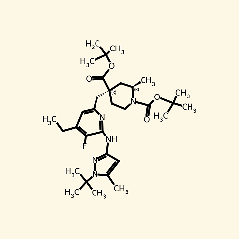 CCc1cc(C[C@@]2(C(=O)OC(C)(C)C)CCN(C(=O)OC(C)(C)C)[C@H](C)C2)nc(Nc2cc(C)n(C(C)(C)C)n2)c1F